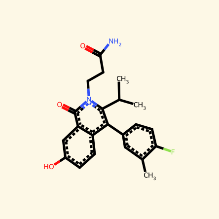 Cc1cc(-c2c(C(C)C)n(CCC(N)=O)c(=O)c3cc(O)ccc23)ccc1F